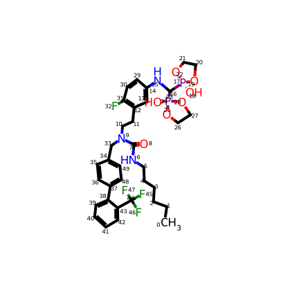 CCCCCCNC(=O)N(CCc1cc(NC([P]2(O)OCCO2)[P]2(O)OCCO2)ccc1F)Cc1ccc(-c2ccccc2C(F)(F)F)cc1